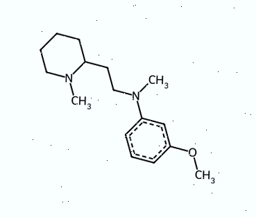 COc1cccc(N(C)CCC2CCCCN2C)c1